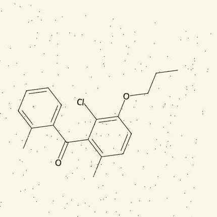 CCCOc1ccc(C)c(C(=O)c2ccccc2C)c1Cl